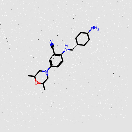 CC1CN(c2ccc(NC[C@H]3CC[C@H](N)CC3)c(C#N)c2)CC(C)O1